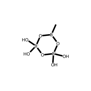 CB1O[B-](O)(O)O[B-](O)(O)O1